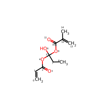 C=CC(=O)OC(O)(CC)OC(=O)C(=C)C